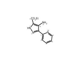 CCOC(=O)c1[nH]nc(-c2ccccn2)c1N